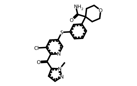 Cn1nccc1C(=O)c1ncc(Sc2cccc(C3(C(N)=O)CCOCC3)c2)cc1Cl